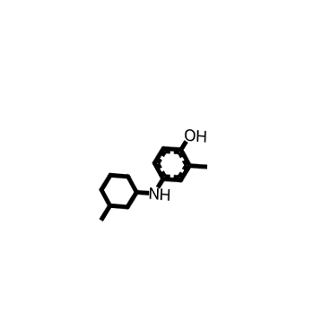 Cc1cc(NC2CCCC(C)C2)ccc1O